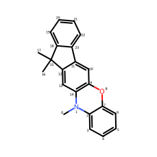 CN1c2ccccc2Oc2cc3c(cc21)C(C)(C)c1ccccc1-3